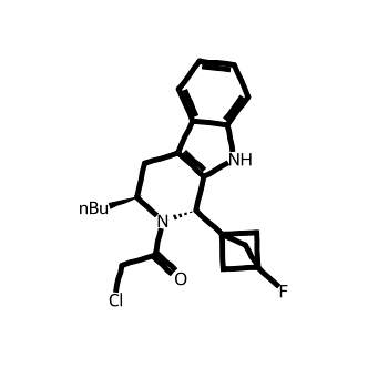 CCCC[C@H]1Cc2c([nH]c3ccccc23)[C@H](C23CC(F)(C2)C3)N1C(=O)CCl